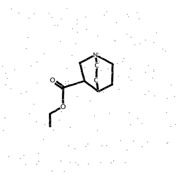 CCOC(=O)C1CN2CCC1CC2